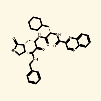 O=C(NCc1ccccc1)C(=O)[C@H](C[C@@H]1CCNC1=O)NC(=O)[C@H](CC1CCCCC1)NC(=O)c1cnc2ccccc2n1